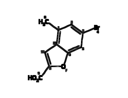 Cc1cc(Br)cc2oc(C(=O)O)cc12